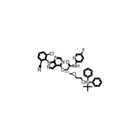 CC(C)(C)[Si](OCCOC[C@H](Oc1ncnc2c1cnn2-c1c(Cl)cccc1C#N)C(=O)Nc1ccc(F)cn1)(c1ccccc1)c1ccccc1